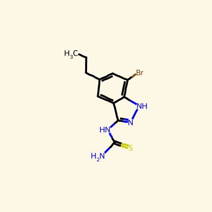 CCCc1cc(Br)c2[nH]nc(NC(N)=S)c2c1